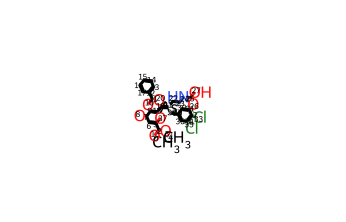 COC(OC)c1cc(=O)c(OCc2ccccc2)c(C(=O)[As](CCNC(=O)O)Cc2ccc(Cl)c(Cl)c2)o1